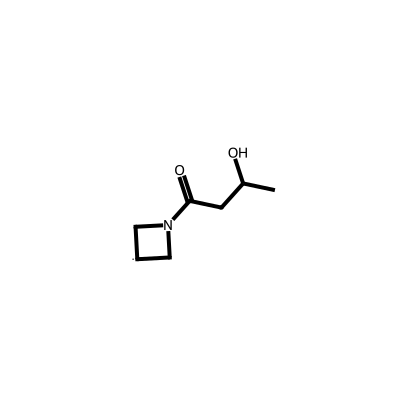 CC(O)CC(=O)N1C[CH]C1